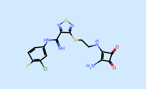 N=C(Nc1ccc(F)c(Cl)c1)c1nsnc1SCCNc1c(N)c(=O)c1=O